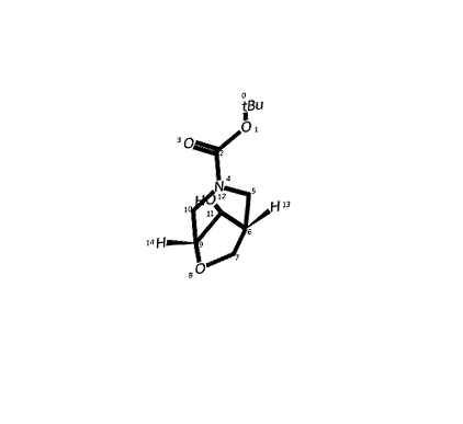 CC(C)(C)OC(=O)N1C[C@@H]2CO[C@H](C1)C2O